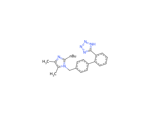 CCCCc1nc(C)c(C)n1Cc1ccc(-c2ccccc2-c2nnn[nH]2)cc1